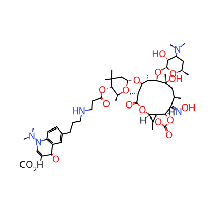 CC1[C@H]2OC(=O)[C@H](C)[C@@H](O[C@H]3CC(C)(C)[C@@H](OC(=O)CCNCCCc4ccc5c(c4)c(=O)c(C(=O)O)cn5N(C)C)[C@H](C)O3)[C@H](C)[C@@H](O[C@@H]3O[C@H](C)C[C@H](N(C)C)[C@H]3O)[C@](C)(O)C[C@@H](C)/C(=N\O)[C@H]3OC(=O)O[C@@]132